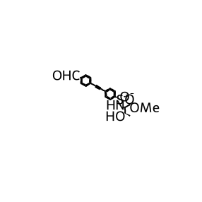 COC(=O)C(N[S+]([O-])c1ccc(C#Cc2ccc(C=O)cc2)cc1)[C@@H](C)O